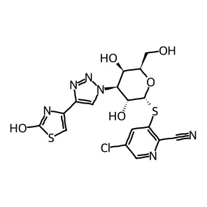 N#Cc1ncc(Cl)cc1S[C@H]1O[C@H](CO)[C@H](O)[C@H](n2cc(-c3csc(O)n3)nn2)[C@H]1O